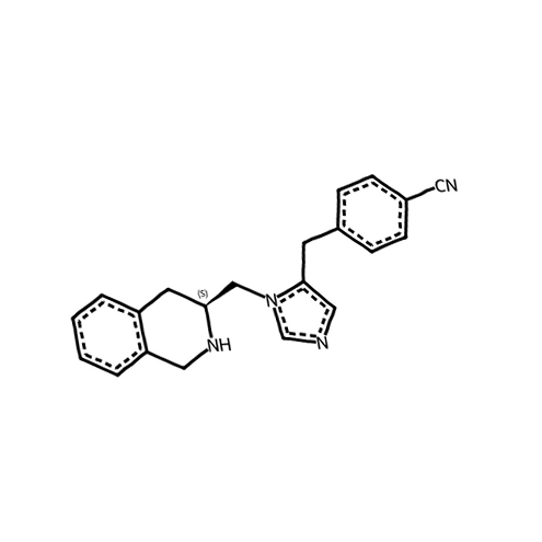 N#Cc1ccc(Cc2cncn2C[C@@H]2Cc3ccccc3CN2)cc1